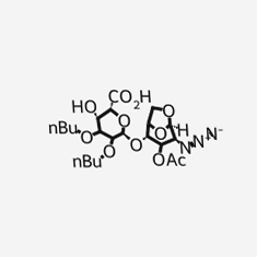 CCCCOC1C(OCCCC)[C@H](O)[C@H](C(=O)O)O[C@H]1O[C@@H]1C2CO[C@H](O2)[C@@H](N=[N+]=[N-])C1OC(C)=O